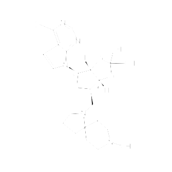 CN1CCC2(CCCN2C[C@H]2O[C@@H](n3ccc4c(Cl)ncnc43)[C@@H]3OC(C)(C)O[C@@H]32)CC1